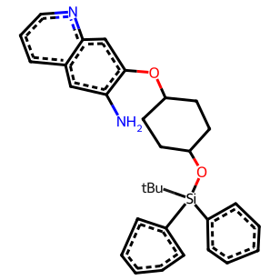 CC(C)(C)[Si](OC1CCC(Oc2cc3ncccc3cc2N)CC1)(c1ccccc1)c1ccccc1